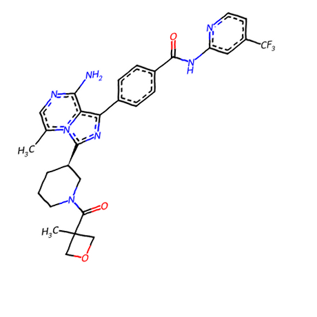 Cc1cnc(N)c2c(-c3ccc(C(=O)Nc4cc(C(F)(F)F)ccn4)cc3)nc([C@@H]3CCCN(C(=O)C4(C)COC4)C3)n12